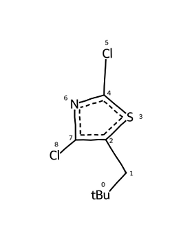 CC(C)(C)Cc1sc(Cl)nc1Cl